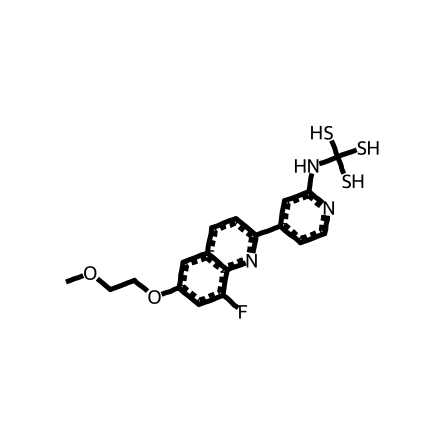 COCCOc1cc(F)c2nc(-c3ccnc(NC(S)(S)S)c3)ccc2c1